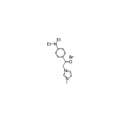 CCN(CC)c1ccc(C(=O)Cn2cc[n+](C)c2)cc1.[Br-]